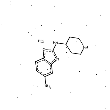 Cl.Nc1ccc2oc(NC3CCNCC3)nc2c1